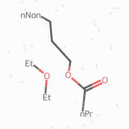 CCCCCCCCCCCCOC(=O)CCC.CCOCC